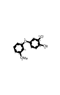 COc1cccc(Oc2ccc(C#N)c(Cl)c2)c1